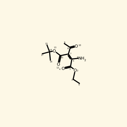 CCOC(=O)C(N)=C(C(C)=O)C(=O)OC(C)(C)C